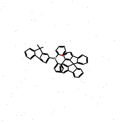 CC1(C)c2ccccc2-c2ccc(N(c3ccccc3)c3ccccc3-c3cccc4c3C3(c5ccccc5-c5ccccc53)c3ccccc3-4)cc21